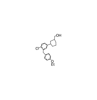 CCOc1ccc(Cc2cc(C3CCCC(CO)C3)ccc2Cl)cc1